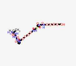 CC[C@@H](C)[C@@H](NC(=O)CNC(=O)CNC(=O)[C@@H]1CCCN1C(=O)CCOCCOCCOCCOCCNC(=O)CCSC1CC(=O)N(CCC(=O)NCCOCCOCCOCCOCCCO)C1=O)C(N)=O